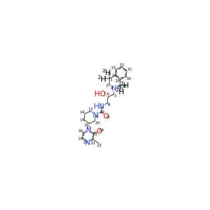 [2H]C1([2H])CN(C[C@@H](O)CNC(=O)N2CCC[C@@H](n3ccnc(C)c3=O)C2)C([2H])([2H])c2ccccc21